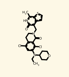 CCN(c1cc(Cl)c2c(c1Cl)C(=O)N(Cc1c(=O)[nH]c(C)c3sccc13)CC2)C1CCOCC1